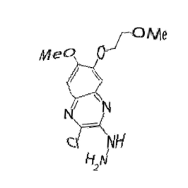 COCCOc1cc2nc(NN)c(Cl)nc2cc1OC